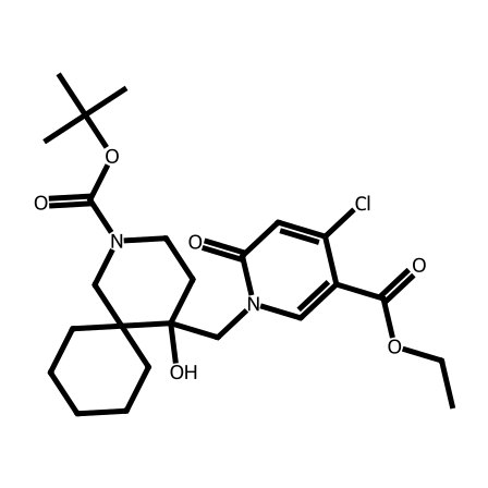 CCOC(=O)c1cn(CC2(O)CCN(C(=O)OC(C)(C)C)CC23CCCCC3)c(=O)cc1Cl